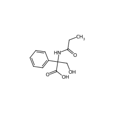 CCC(=O)NC(CO)(C(=O)O)c1ccccc1